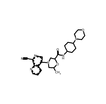 CC1CN(c2cnc(C#N)c3ncccc23)CC(C(=O)NC2CCC(N3CCOCC3)CC2)O1